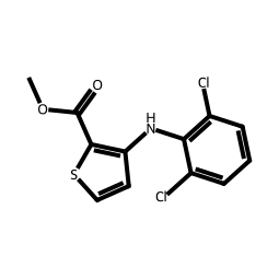 COC(=O)c1sccc1Nc1c(Cl)cccc1Cl